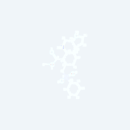 COC(=O)c1c(CS(=O)(=O)c2ccccc2)ccc2c1ncc1occc12